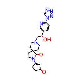 O=C1C=C(N2CCC3(CCN(C[C@H](O)c4ccc(-n5cnnn5)nc4)CC3)C2=O)CC1